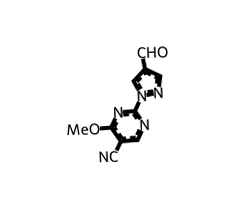 COc1nc(-n2cc(C=O)cn2)ncc1C#N